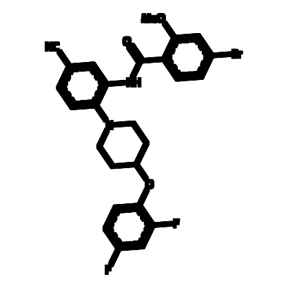 COc1cc(Br)ccc1C(=O)Nc1cc(C#N)ccc1N1CCC(Oc2ccc(F)cc2F)CC1